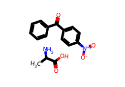 CC(N)C(=O)O.O=C(c1ccccc1)c1ccc([N+](=O)[O-])cc1